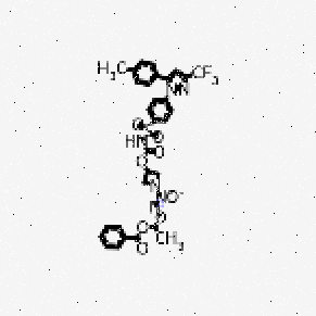 Cc1ccc(-c2cc(C(F)(F)F)nn2-c2ccc(S(=O)(=O)NC(=O)OC3CN(/[N+]([O-])=N/OC(C)OC(=O)c4ccccc4)C3)cc2)cc1